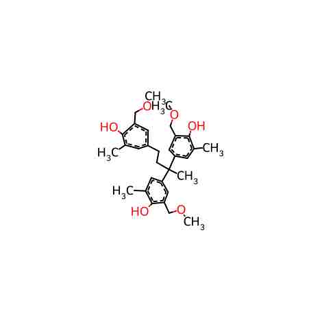 COCc1cc(CCC(C)(c2cc(C)c(O)c(COC)c2)c2cc(C)c(O)c(COC)c2)cc(C)c1O